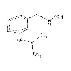 CN(C)C.O=C(O)NCc1ccccc1